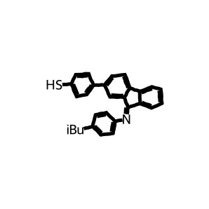 CCC(C)c1ccc(/N=C2/c3ccccc3-c3ccc(-c4ccc(S)cc4)cc32)cc1